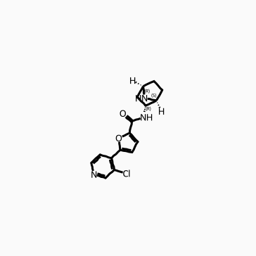 O=C(N[C@@H]1C[C@H]2CC[C@@H]1N2)c1ccc(-c2ccncc2Cl)o1